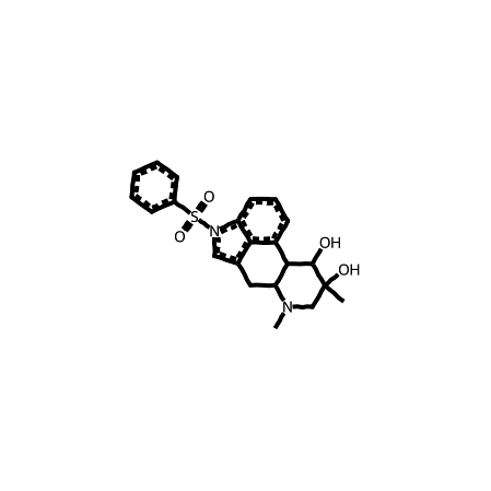 CN1CC(C)(O)C(O)C2c3cccc4c3c(cn4S(=O)(=O)c3ccccc3)CC21